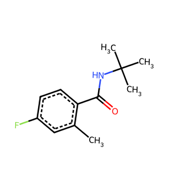 Cc1cc(F)ccc1C(=O)NC(C)(C)C